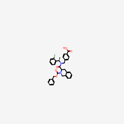 C[C@H](c1ccccc1F)N(Cc1ccc(C(=O)O)cc1)C(=O)C1Cc2ccccc2CN1C(=O)OCc1ccccc1